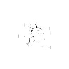 CC(=O)O[C@]1(C(C)=O)C(O)(C(C)=O)O[C@H](CO)[C@@H](O)[C@@]1(OC(C)=O)C(C)=O